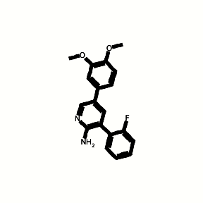 COc1ccc(-c2cnc(N)c(-c3cc[c]cc3F)c2)cc1OC